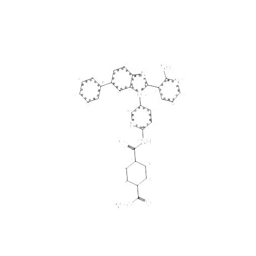 COC(=O)C1CCC(C(=O)Nc2ccc(-n3c(-c4cccnc4N)nc4ccc(-c5ccccc5)cc43)cn2)CC1